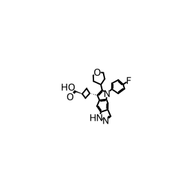 O=C(O)[C@H]1C[C@H](c2c(C3CCOCC3)n(-c3ccc(F)cc3)c3cc4cn[nH]c4cc32)C1